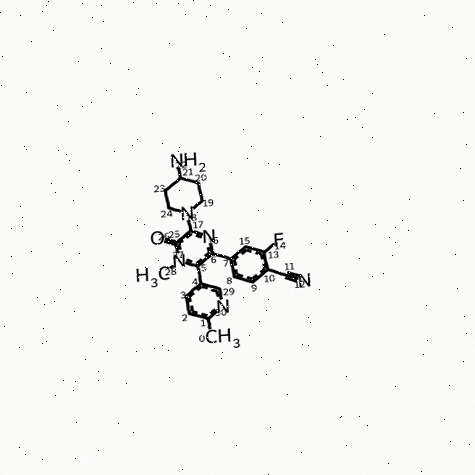 Cc1ccc(-c2c(-c3ccc(C#N)c(F)c3)nc(N3CCC(N)CC3)c(=O)n2C)cn1